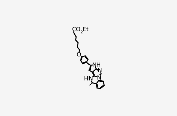 CCOC(=O)CCCCCCOc1ccc(-c2cc3c(N[C@H](C)c4ccccc4)ncnc3[nH]2)cc1